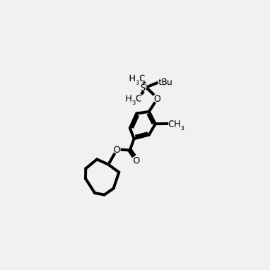 Cc1cc(C(=O)OC2CCCCCCC2)ccc1O[Si](C)(C)C(C)(C)C